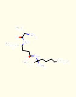 C[C@H](N)C(=O)N[C@H](CCC(=O)NC(N)(CCCCC(=O)O)C(=O)O)C(=O)O